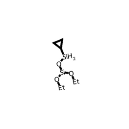 CCO[Si](OCC)O[SiH2]C1CC1